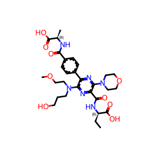 CC[C@@H](NC(=O)c1nc(N(CCCO)CCOC)c(-c2ccc(C(=O)N[C@H](C)C(=O)O)cc2)nc1N1CCOCC1)C(=O)O